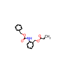 C=CC(=O)OCc1ccccc1NC(=O)OCc1ccccc1